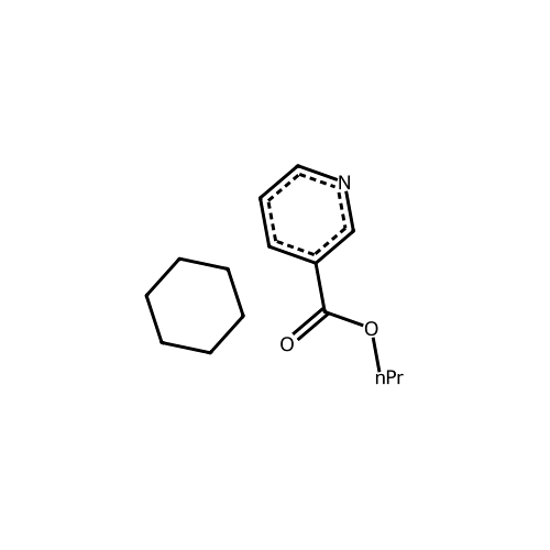 C1CCCCC1.CCCOC(=O)c1cccnc1